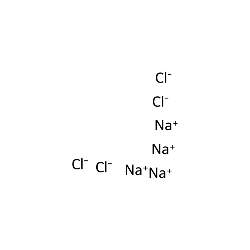 [Cl-].[Cl-].[Cl-].[Cl-].[Na+].[Na+].[Na+].[Na+]